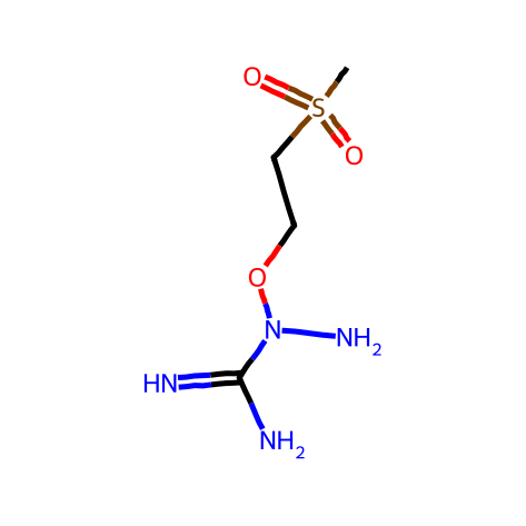 CS(=O)(=O)CCON(N)C(=N)N